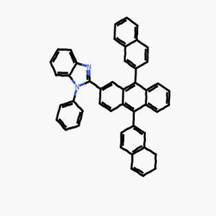 C1=Cc2ccc(-c3c4ccccc4c(-c4ccc5ccccc5c4)c4cc(-c5nc6ccccc6n5-c5ccccc5)ccc34)cc2CC1